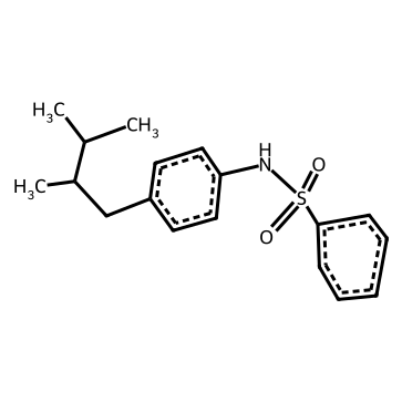 CC(C)C(C)Cc1ccc(NS(=O)(=O)c2ccccc2)cc1